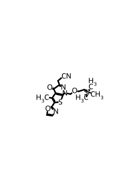 Cc1c(-c2ncco2)sc2c1c(=O)c(CC#N)nn2COCC[Si](C)(C)C